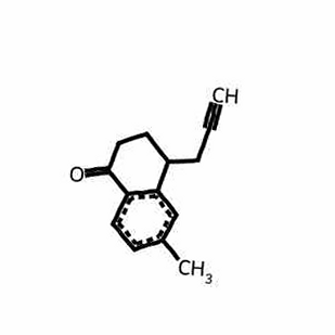 C#CCC1CCC(=O)c2ccc(C)cc21